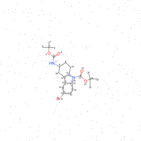 CC(C)(C)OC(=O)NC1CCc2c(c3cc(Br)ccc3n2C(=O)OC(C)(C)C)C1